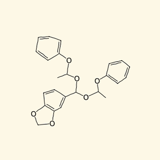 CC(Oc1ccccc1)OC(OC(C)Oc1ccccc1)c1ccc2c(c1)OCO2